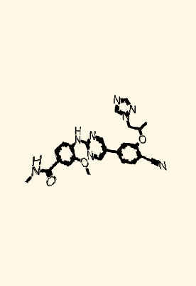 CNC(=O)c1ccc(Nc2ncc(-c3ccc(C#N)c(OC(C)Cn4cncn4)c3)cn2)c(OC)c1